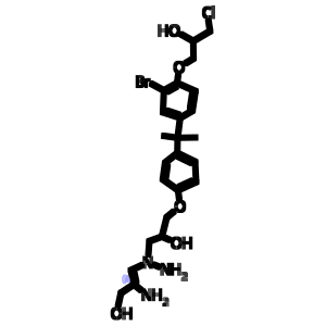 CC(C)(c1ccc(OCC(O)CN(N)/C=C(\N)CO)cc1)c1ccc(OCC(O)CCl)c(Br)c1